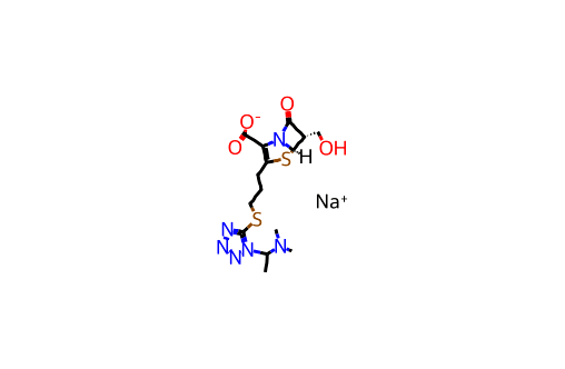 CC(N(C)C)n1nnnc1SCCCC1=C(C(=O)[O-])N2C(=O)[C@H](CO)[C@H]2S1.[Na+]